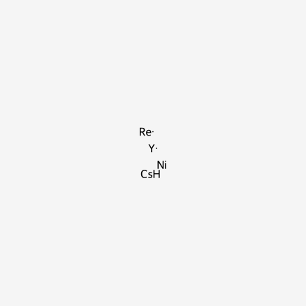 [CsH].[Ni].[Re].[Y]